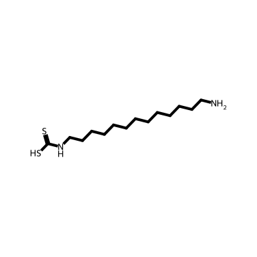 NCCCCCCCCCCCCCNC(=S)S